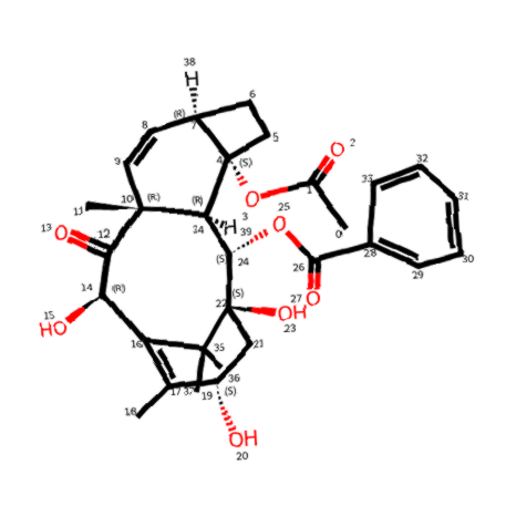 CC(=O)O[C@@]12CC[C@@H]1C=C[C@@]1(C)C(=O)[C@H](O)C3=C(C)[C@@H](O)C[C@@](O)([C@@H](OC(=O)c4ccccc4)[C@H]21)C3(C)C